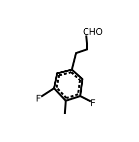 Cc1c(F)cc(CCC=O)cc1F